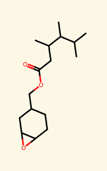 CC(C)C(C)C(C)CC(=O)OCC1CCC2OC2C1